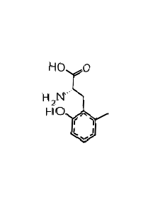 Cc1cccc(O)c1C[C@H](N)C(=O)O